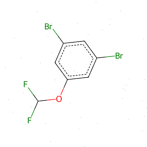 FC(F)Oc1cc(Br)cc(Br)c1